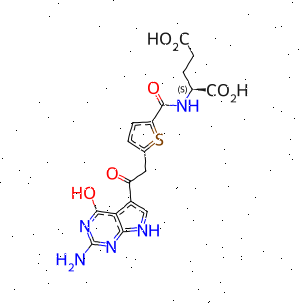 Nc1nc(O)c2c(C(=O)Cc3ccc(C(=O)N[C@@H](CCC(=O)O)C(=O)O)s3)c[nH]c2n1